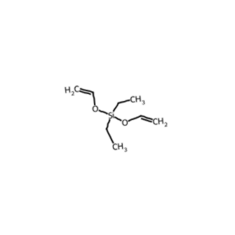 C=CO[Si](CC)(CC)OC=C